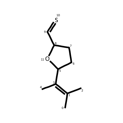 CC(C)=C(C)C1CCC(C=S)O1